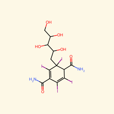 NC(=O)C1=C(I)C(I)(CC(O)C(O)C(O)CO)C(C(N)=O)C(I)=C1I